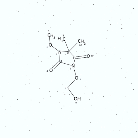 CON1C(=O)N(OCO)C(=O)C1(C)C